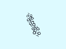 Cc1ccccc1N(c1ccc2ccc3c(N(c4ccccc4C)c4cccc5c4oc4c(-c6ccccc6C(C)C)cccc45)ccc4ccc1c2c43)c1cccc2c1oc1c(-c3ccccc3C(C)C)cccc12